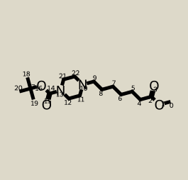 COC(=O)CCCCCCN1CCN(C(=O)OC(C)(C)C)CC1